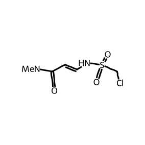 CNC(=O)/C=C/NS(=O)(=O)CCl